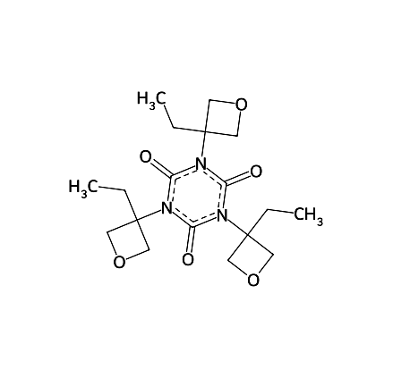 CCC1(n2c(=O)n(C3(CC)COC3)c(=O)n(C3(CC)COC3)c2=O)COC1